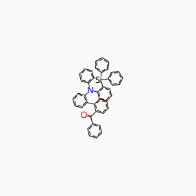 O=C(c1ccccc1)c1ccccc1-c1ccccc1N1c2ccccc2[Si](c2ccccc2)(c2ccccc2)c2ccccc21